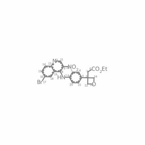 CCOC(=O)CC1(c2ccc(Nc3c([N+](=O)[O-])cnc4ccc(Br)cc34)cc2)COC1